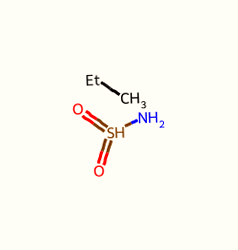 CCC.N[SH](=O)=O